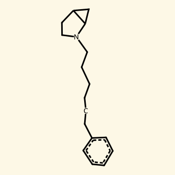 c1ccc(CCCCCCN2CCC3CC32)cc1